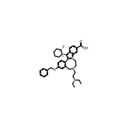 CCN(CC)CCN1CCn2c(c([C@H]3CCCC[C@@H]3F)c3ccc(C(=O)O)cc32)-c2ccc(OCc3ccccc3)cc2C1